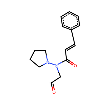 O=[C]CN(C(=O)C=Cc1ccccc1)N1CCCC1